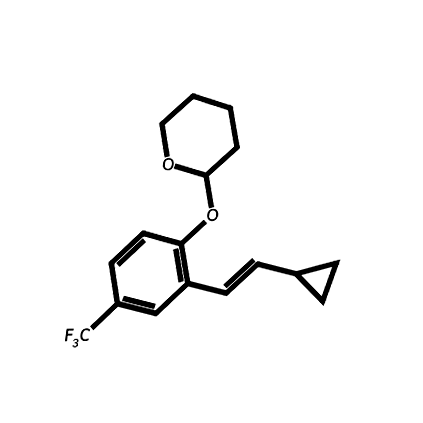 FC(F)(F)c1ccc(OC2CCCCO2)c(/C=C/C2CC2)c1